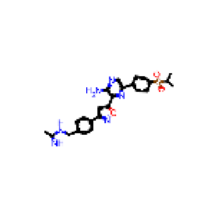 CC(=N)NCc1ccc(-c2cc(-c3nc(-c4ccc(S(=O)(=O)C(C)C)cc4)cnc3N)on2)cc1